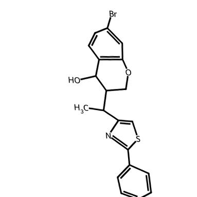 CC(c1csc(-c2ccccc2)n1)C1COc2cc(Br)ccc2C1O